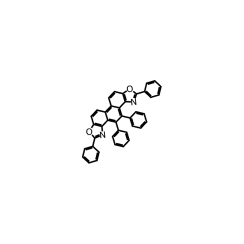 c1ccc(-c2nc3c(ccc4c5ccc6oc(-c7ccccc7)nc6c5c(-c5ccccc5)c(-c5ccccc5)c43)o2)cc1